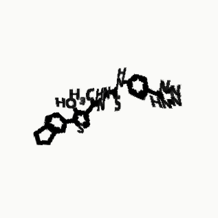 C/C(=N\NC(=S)Nc1ccc(-c2nnn[nH]2)cc1)c1csc(-c2ccc3c(c2)CCC3)c1O